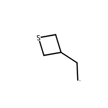 [CH2]CC1CSC1